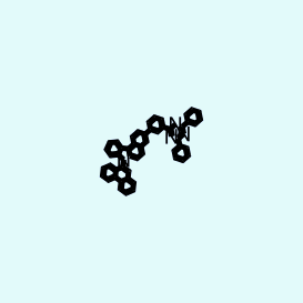 c1ccc(-c2nc(-c3ccccc3)nc(-c3cccc(-c4ccc5c(ccc6c5c5ccccc5n6-c5cc6ccccc6c6ccccc56)c4)c3)n2)cc1